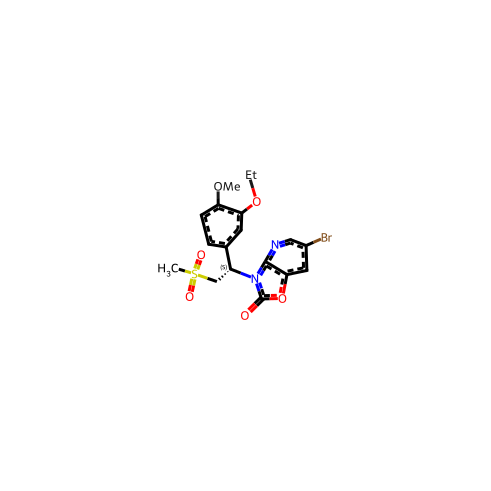 CCOc1cc([C@@H](CS(C)(=O)=O)n2c(=O)oc3cc(Br)cnc32)ccc1OC